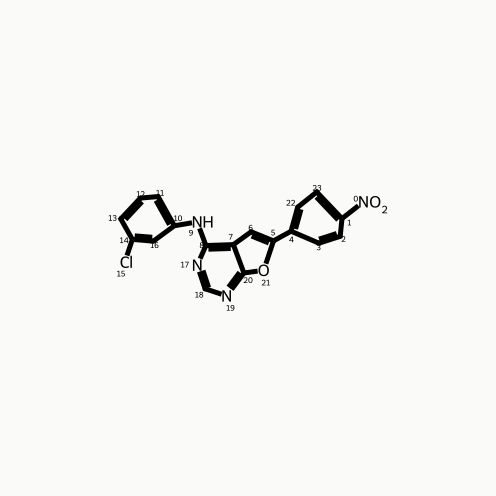 O=[N+]([O-])c1ccc(-c2cc3c(Nc4cccc(Cl)c4)ncnc3o2)cc1